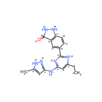 CCc1cc(Nc2cc(C)[nH]n2)nc(-c2ccc3[nH][nH]c(=O)c3c2)n1